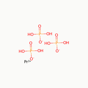 O=P([O-])(O)O.O=P([O-])(O)O.O=P([O-])(O)O.[Pr+3]